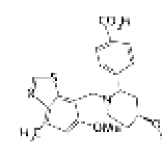 CCO[C@H]1CCN(Cc2c(OC)cc(C)c3ncsc23)[C@H](c2ccc(C(=O)O)cc2)C1